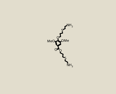 COc1cc(C(=O)OCCCSCCN)cc(OC)c1OCCCSCCN